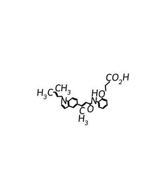 CC(C)=CCn1ccc2cc(C(C)=CC(=O)Nc3ccccc3OCCCC(=O)O)ccc21